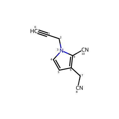 C#CCn1ccc([CH]C#N)c1C#N